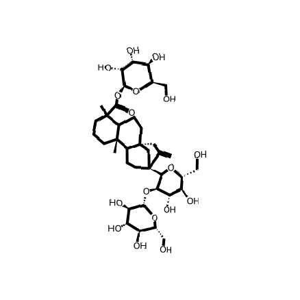 C=C1C[C@@]23CCC4C(C)(C(=O)O[C@@H]5O[C@H](CO)[C@H](O)[C@@H](O)[C@H]5O)CCC[C@@]4(C)C2CC[C@]1(C1O[C@H](CO)[C@@H](O)[C@H](O)[C@H]1O[C@@H]1O[C@H](CO)[C@@H](O)[C@H](O)[C@H]1O)C3